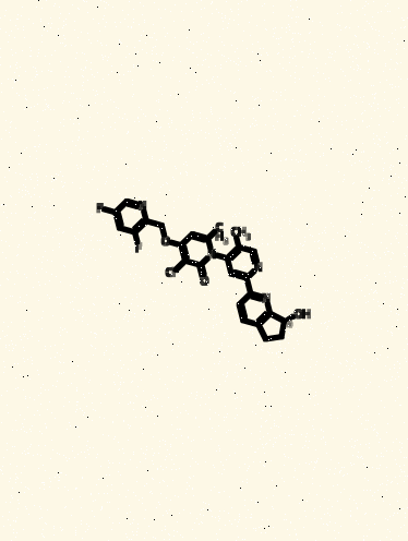 Cc1cnc(-c2ccc3c(n2)[C@@H](O)CC3)cc1-n1c(C)cc(OCc2ncc(F)cc2F)c(Cl)c1=O